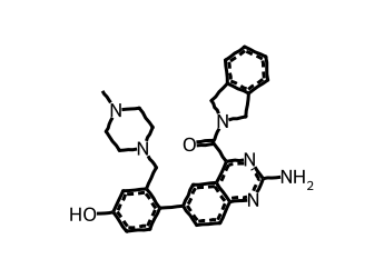 CN1CCN(Cc2cc(O)ccc2-c2ccc3nc(N)nc(C(=O)N4Cc5ccccc5C4)c3c2)CC1